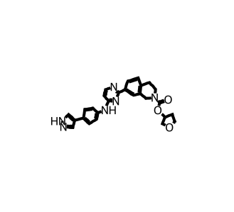 O=C(OC1CCOC1)N1CCc2ccc(-c3nccc(Nc4ccc(-c5cn[nH]c5)cc4)n3)cc2C1